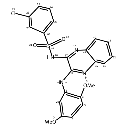 COc1ccc(OC)c(Nc2nc3ccccc3nc2NS(=O)(=O)c2cccc(Cl)c2)c1